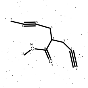 C#CCC(CC#CC)C(=O)OC